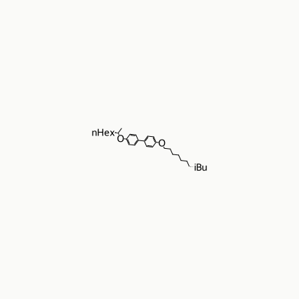 CCCCCC[C@@H](C)Oc1ccc(-c2ccc(OCCCCCCC[C@@H](C)CC)cc2)cc1